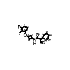 Cc1c(F)cccc1OC1CC(NC(=O)c2cnn3ccccc23)C1